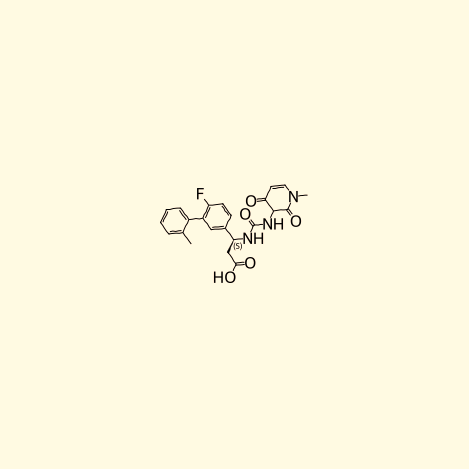 Cc1ccccc1-c1cc([C@H](CC(=O)O)NC(=O)NC2C(=O)C=CN(C)C2=O)ccc1F